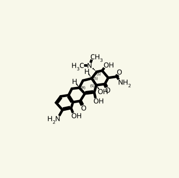 CN(C)[C@@H]1C(O)C(C(N)=O)C(=O)[C@@]2(O)C(O)=C3C(=O)c4c(ccc(N)c4O)C[C@H]3C[C@@H]12